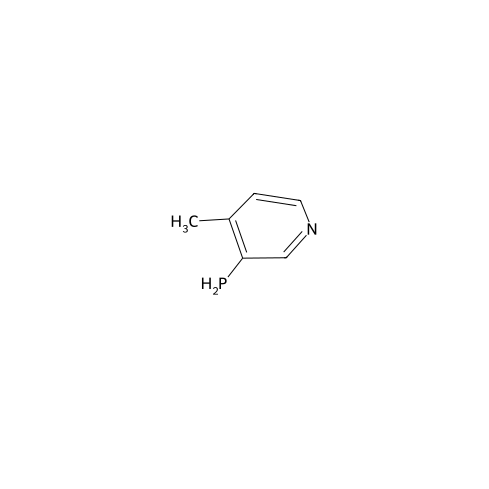 Cc1ccncc1P